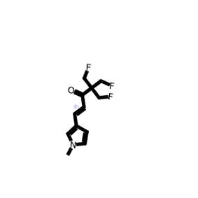 Cn1ccc(/C=C/C(=O)C(CF)(CF)CF)c1